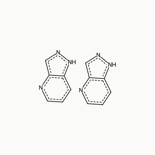 c1cnc2cn[nH]c2c1.c1cnc2cn[nH]c2c1